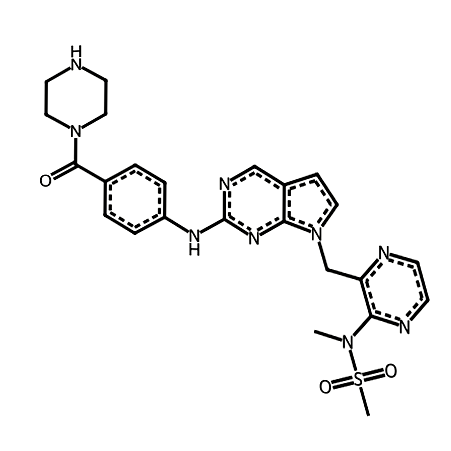 CN(c1nccnc1Cn1ccc2cnc(Nc3ccc(C(=O)N4CCNCC4)cc3)nc21)S(C)(=O)=O